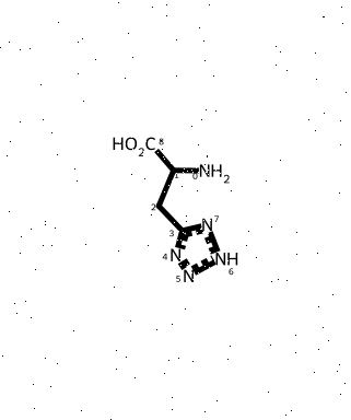 NC(Cc1nn[nH]n1)C(=O)O